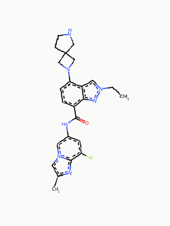 CCn1cc2c(N3CC4(CCNC4)C3)ccc(C(=O)Nc3cc(F)c4nc(C)cn4c3)c2n1